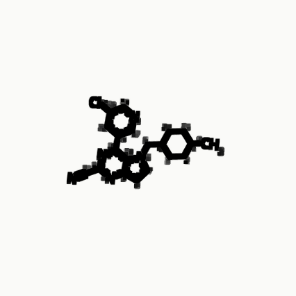 CC1CCC(Cn2ccc3nc(C#N)nc(-c4cncc(Cl)c4)c32)CC1